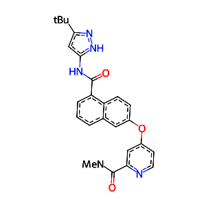 CNC(=O)c1cc(Oc2ccc3c(C(=O)Nc4cc(C(C)(C)C)n[nH]4)cccc3c2)ccn1